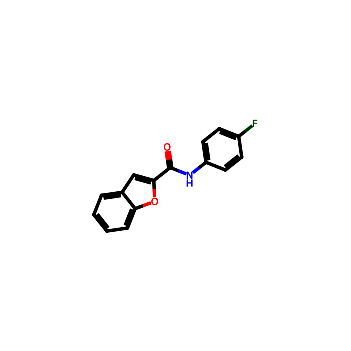 O=C(Nc1ccc(F)cc1)c1cc2ccccc2o1